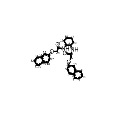 O=C(COc1ccc2ccccc2c1)NC1CCCCC1NC(=O)COc1ccc2ccccc2c1